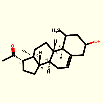 CC(=O)[C@H]1CC[C@H]2[C@@H]3CC=C4CC(O)CC([SiH3])[C@]4(C)[C@H]3CC[C@]12C